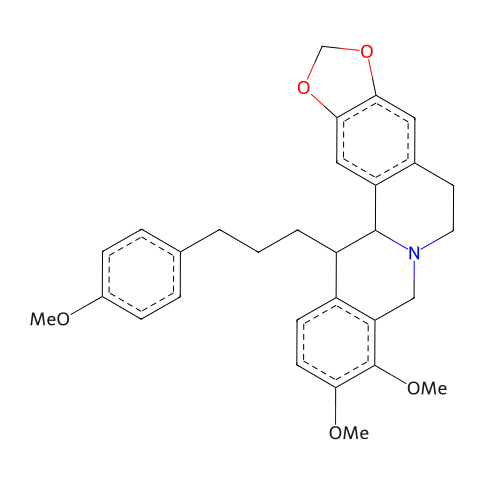 COc1ccc(CCCC2c3ccc(OC)c(OC)c3CN3CCc4cc5c(cc4C23)OCO5)cc1